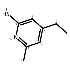 CCc1cc(C)nc(S)c1